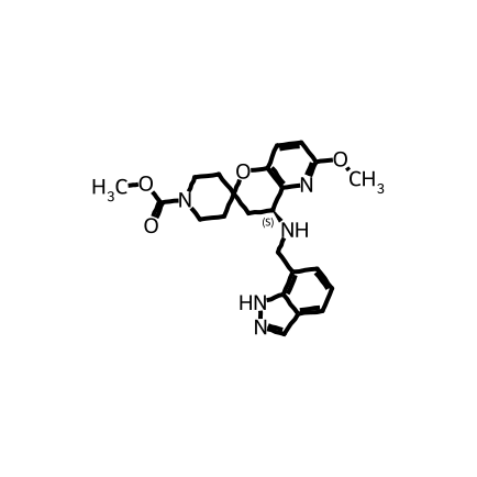 COC(=O)N1CCC2(CC1)C[C@H](NCc1cccc3cn[nH]c13)c1nc(OC)ccc1O2